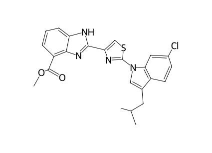 COC(=O)c1cccc2[nH]c(-c3csc(-n4cc(CC(C)C)c5ccc(Cl)cc54)n3)nc12